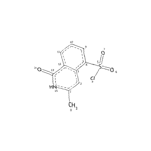 Cc1cc2c(S(=O)(=O)Cl)cccc2c(=O)[nH]1